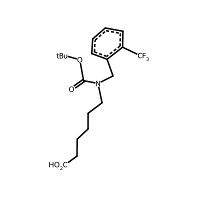 CC(C)(C)OC(=O)N(CCCCCC(=O)O)Cc1ccccc1C(F)(F)F